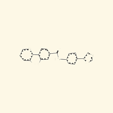 O=C(Nc1ccc(-c2cnco2)cc1)c1ccc(-c2ncccc2Cl)c(F)c1